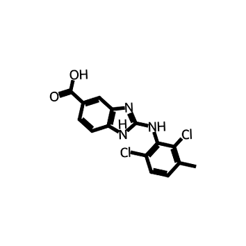 Cc1ccc(Cl)c(Nc2nc3cc(C(=O)O)ccc3[nH]2)c1Cl